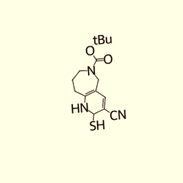 CC(C)(C)OC(=O)N1CCCC2=C(C=C(C#N)C(S)N2)C1